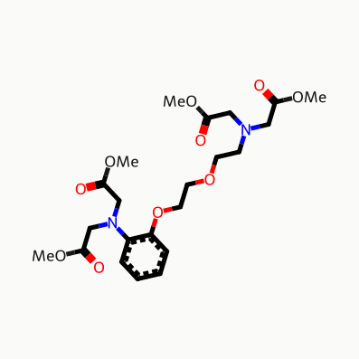 COC(=O)CN(CCOCCOc1ccccc1N(CC(=O)OC)CC(=O)OC)CC(=O)OC